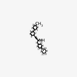 Cc1ccc(C2=CC=CC(C#CC(=N)Cc3ccc(N4CCCCC4)cc3)C2)cc1